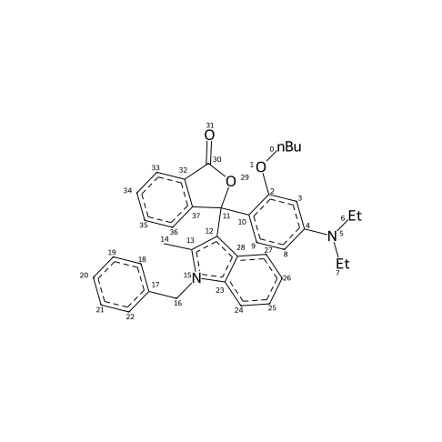 CCCCOc1cc(N(CC)CC)ccc1C1(c2c(C)n(Cc3ccccc3)c3ccccc23)OC(=O)c2ccccc21